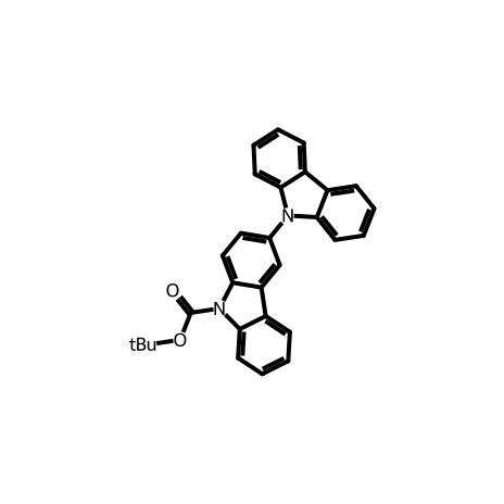 CC(C)(C)OC(=O)n1c2ccccc2c2cc(-n3c4ccccc4c4ccccc43)ccc21